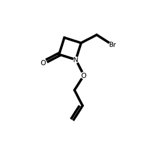 C=CCON1C(=O)CC1CBr